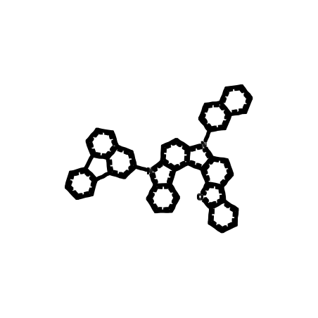 c1ccc2c(c1)-c1cccc3cc(-n4c5ccccc5c5c6c7c8oc9ccccc9c8ccc7n(-c7ccc8ccccc8c7)c6ccc54)cc-2c13